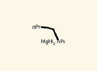 [CH2]CCCCCC.[MgH2]